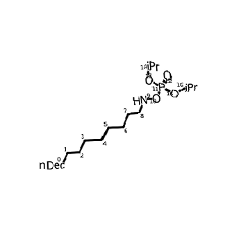 CCCCCCCCCCCCCCCCCCNOP(=O)(OC(C)C)OC(C)C